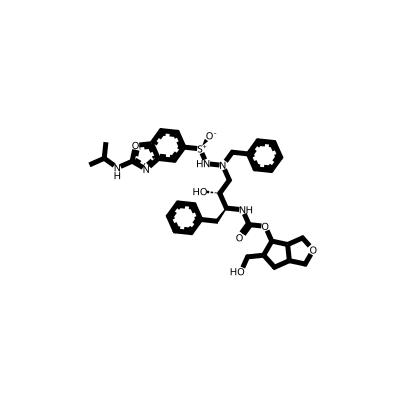 CC(C)Nc1nc2cc([S@@+]([O-])NN(Cc3ccccc3)C[C@@H](O)[C@H](Cc3ccccc3)NC(=O)OC3C(CO)CC4COCC43)ccc2o1